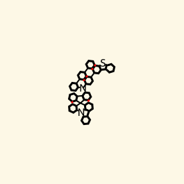 c1ccc(-c2ccc(-c3ccccc3N(c3ccc(-c4ccc5sc6ccccc6c5c4)cc3)c3cccc4c3-c3ccccc3C43c4ccccc4-n4c5ccccc5c5cccc3c54)cc2)cc1